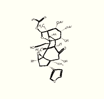 CC(=O)O[C@H]1[C@@H](OC(C)=O)[C@]2(C)[C@H](OC(=O)C(C)C)OC[C@]3([C@H]4C(=O)[C@H](O)[C@@]5(C)[C@H](c6ccoc6)C[C@H]6O[C@]65[C@]4(C)[C@H](O)C[C@@H]23)[C@H]1O